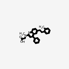 Cc1ccccc1CCc1ccc2nc(N(C)CC(=O)O)cc(-c3ccccc3)c2c1